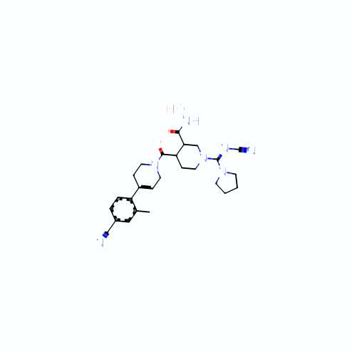 Cc1cc(C#N)ccc1C1=CCN(C(=O)C2CCN(C(=NC#N)N3CCCC3)CC2C(=O)NO)CC1